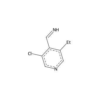 CCc1cncc(Cl)c1C=N